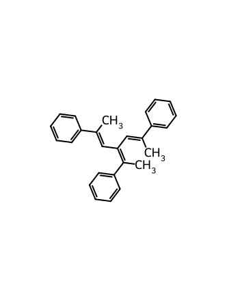 CC(=CC(C=C(C)c1ccccc1)=C(C)c1ccccc1)c1ccccc1